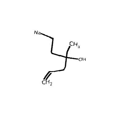 C=CCC(C)(O)C[CH2][Na]